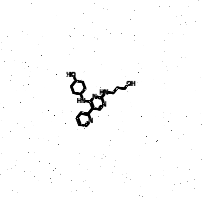 OCCCNc1ncc(-c2ccccn2)c(NC2CCC(O)CC2)n1